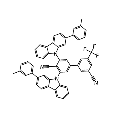 Cc1cccc(-c2ccc3c4ccccc4n(-c4cc(-c5cc(C#N)cc(C(F)(F)F)c5)cc(-n5c6ccccc6c6ccc(-c7cccc(C)c7)cc65)c4C#N)c3c2)c1